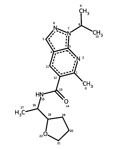 Cc1nc2c(cnn2C(C)C)cc1C(=O)NC(C)C1CCCO1